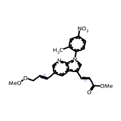 COOC/C=C/c1cnc2c(c1)c(/C=C/C(=O)OC)cn2-c1ccc([N+](=O)[O-])cc1C